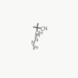 CC(C)(O)C#N.CC(C)N=NC(C)C